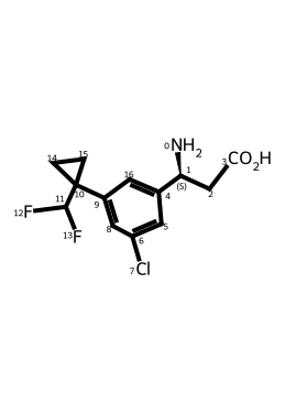 N[C@@H](CC(=O)O)c1cc(Cl)cc(C2(C(F)F)CC2)c1